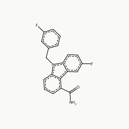 NC(=O)c1cccc2c1c1[c]c(F)ccc1n2Cc1cccc(F)c1